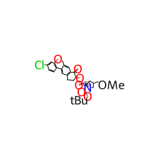 COCC1C[C@@H](C(=O)OC2CCc3cc4c(cc3C2=O)COc2cc(Cl)ccc2-4)N(C(=O)OC(C)(C)C)C1